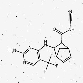 N#CNC(=O)C1C2C=CC(C2)C1Nc1nc(N)ncc1C(F)(F)F